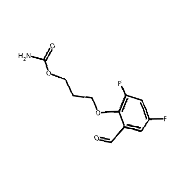 NC(=O)OCCCOc1c(F)cc(F)cc1C=O